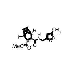 COC(=O)[C@H]1[C@H](C(=O)NCc2cc(C)no2)[C@@H]2CC[C@H]1C21CC1